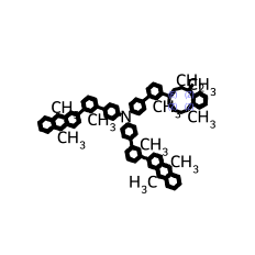 C=C1/C=C(c2cccc(-c3ccc(N(c4ccc(-c5cccc(-c6ccc7c(C)c8ccccc8c(C)c7c6)c5C)cc4)c4ccc(-c5cccc(-c6ccc7c(C)c8ccccc8c(C)c7c6)c5C)cc4)cc3)c2C)\C=C/C/C(C)=c2/cccc/c2=C/1C